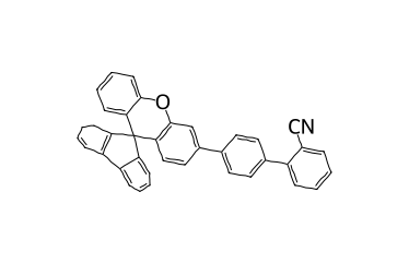 N#Cc1ccccc1-c1ccc(-c2ccc3c(c2)Oc2ccccc2C32C3=C(C=CCC3)c3ccccc32)cc1